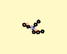 c1ccc(-c2ccc(-c3nc(-c4ccc5c(c4)oc4ccccc45)nc(-c4cccc5c4oc4cc(-c6ccccc6)ccc45)n3)cc2)cc1